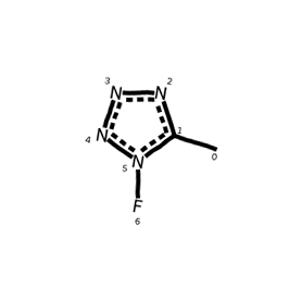 Cc1nnnn1F